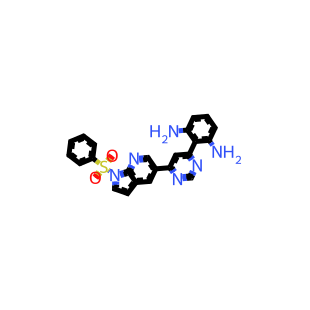 Nc1cccc(N)c1-c1cc(-c2cnc3c(ccn3S(=O)(=O)c3ccccc3)c2)ncn1